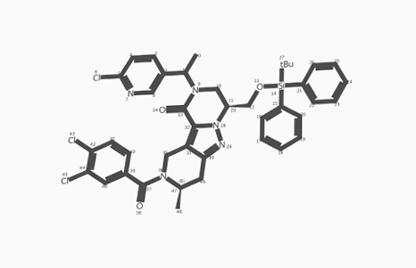 CC(c1ccc(Cl)nc1)N1C[C@@H](CO[Si](c2ccccc2)(c2ccccc2)C(C)(C)C)n2nc3c(c2C1=O)CN(C(=O)c1ccc(Cl)c(Cl)c1)[C@H](C)C3